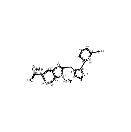 CCCn1c(Cn2ccnc2-c2cccc(F)n2)nc2cc(C(=O)OC)ncc21